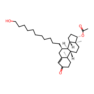 CC(=O)O[C@H]1CC[C@H]2[C@@H]3[C@H](CCCCCCCCCCCO)CC4=CC(=O)CC[C@]4(C)[C@H]3CC[C@]12C